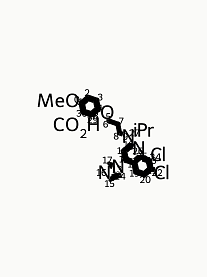 COc1ccc(OCCCN(c2cc(-n3ccnc3)c3ccc(Cl)c(Cl)c3n2)C(C)C)c(C(=O)O)c1